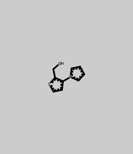 OCc1sccc1-n1cccc1